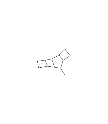 CC1C2CCC2C2C3CCC3C12